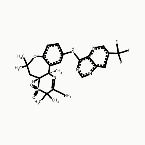 CC1(C)C[C@@H]2[C@](C)(N=C(N)C(C)(C)S2(=O)=O)c2cc(Nc3ncnc4cc(C(F)(F)F)cnc34)ccc2O1